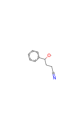 N#CCCC([O])c1ccccc1